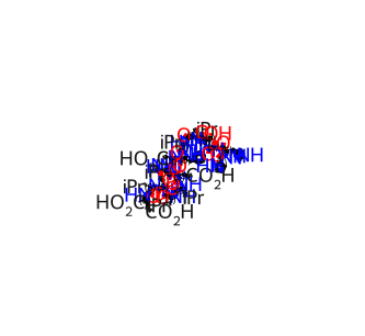 CC(C)C[C@H](NC(=O)[C@H](CCCCN)NC(=O)[C@H](CC(C)C)NC(=O)[C@H](CC(C)C)NC(=O)[C@H](CCC(=O)O)NC(=O)[C@@H](NC(=O)[C@H](CC(=O)O)NC(=O)[C@H](Cc1ccccc1)NC(=O)[C@@H](NC(=O)[C@H](CC(C)C)NC(=O)[C@@H](NC(=O)[C@H](C)NC(=O)[C@H](Cc1c[nH]cn1)NC(=O)[C@@H]1CCCN1)[C@@H](C)O)C(C)C)C(C)C)C(=O)N[C@@H](CCC(=O)O)C(=O)O